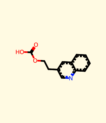 O=C(O)OCCc1cnc2ccccc2c1